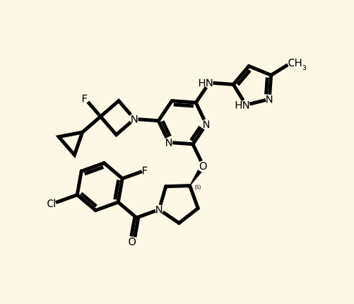 Cc1cc(Nc2cc(N3CC(F)(C4CC4)C3)nc(O[C@H]3CCN(C(=O)c4cc(Cl)ccc4F)C3)n2)[nH]n1